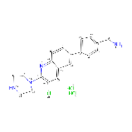 Cl.Cl.NCc1ccc(-c2ccc3nc(N4CCNCC4)c(Cl)cc3c2)cc1